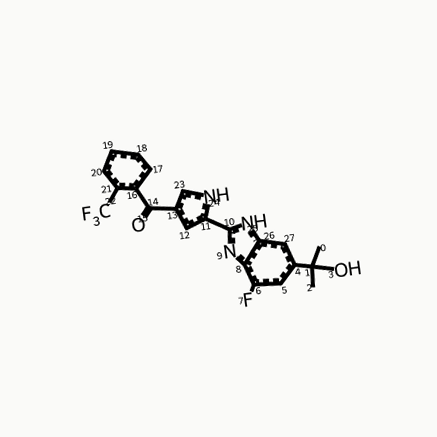 CC(C)(O)c1cc(F)c2nc(-c3cc(C(=O)c4ccccc4C(F)(F)F)c[nH]3)[nH]c2c1